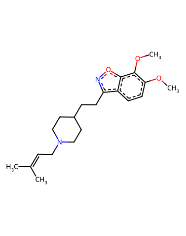 COc1ccc2c(CCC3CCN(CC=C(C)C)CC3)noc2c1OC